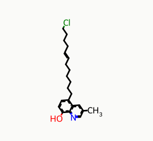 Cc1cnc2c(O)ccc(CCCCCCC=CCCCCCl)c2c1